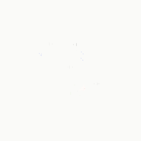 Cc1cc(-c2c(C)nn(Cc3ccc(OC(F)(F)F)c(C)c3)c2C)ccc1C#N